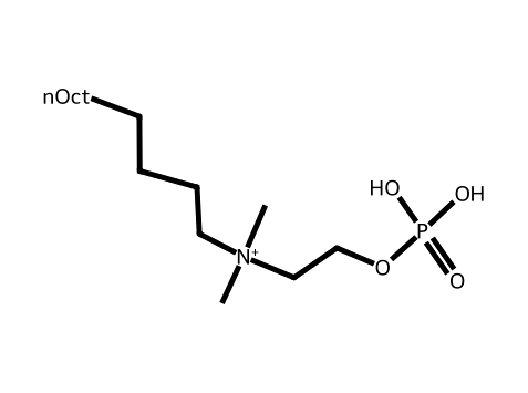 CCCCCCCCCCCC[N+](C)(C)CCOP(=O)(O)O